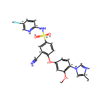 COc1cc(Oc2ccc(S(=O)(=O)Nc3ccc(F)cn3)cc2C#N)ccc1-n1cnc(C)c1